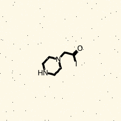 O=C(I)CN1CCNCC1